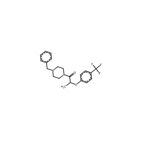 CC(Oc1ccc(C(F)(F)F)cc1)C(=O)N1CCN(Cc2ccccc2)CC1